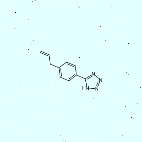 C=CCc1ccc(-c2nnn[nH]2)cc1